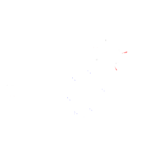 COc1ccc(CNC2(N)N=C(I)N=C3C2=NCN3[C@@H]2O[C@H](CO)[C@@H](O)[C@H]2O)cc1